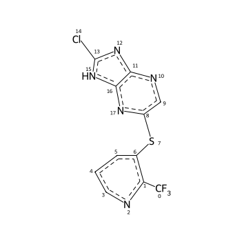 FC(F)(F)c1ncccc1Sc1cnc2nc(Cl)[nH]c2n1